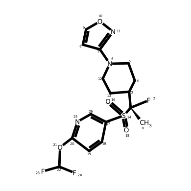 C[C@](F)(C1CCN(c2ccon2)CC1)S(=O)(=O)c1ccc(OC(F)F)nc1